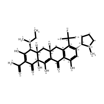 CCN(C)[C@@H]1C(O)=C(C(N)=O)C(=O)[C@@]2(O)C(O)=C3C(=O)c4c(O)cc([C@@H]5CCCN5C)c(C(F)(F)F)c4C[C@H]3C[C@@H]12